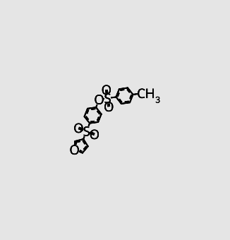 Cc1ccc(S(=O)(=O)Oc2ccc(S(=O)(=O)c3ccoc3)cc2)cc1